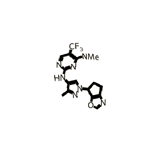 CNc1nc(Nc2cn(C3CCc4ncoc43)nc2C)ncc1C(F)(F)F